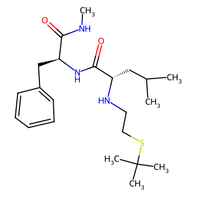 CNC(=O)[C@H](Cc1ccccc1)NC(=O)[C@H](CC(C)C)NCCSC(C)(C)C